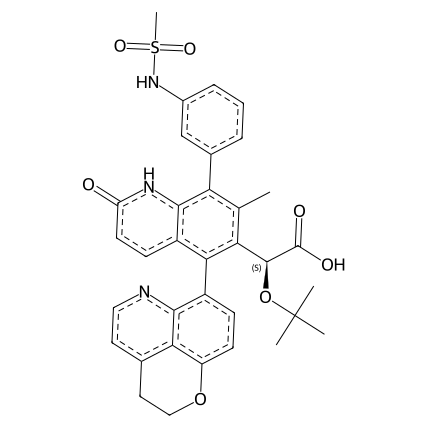 Cc1c([C@H](OC(C)(C)C)C(=O)O)c(-c2ccc3c4c(ccnc24)CCO3)c2ccc(=O)[nH]c2c1-c1cccc(NS(C)(=O)=O)c1